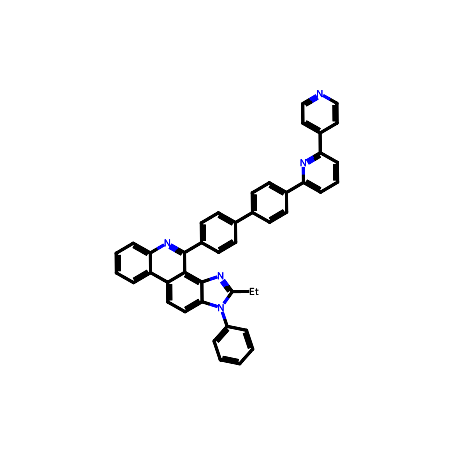 CCc1nc2c3c(-c4ccc(-c5ccc(-c6cccc(-c7ccncc7)n6)cc5)cc4)nc4ccccc4c3ccc2n1-c1ccccc1